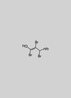 CCCC(Br)/C(Br)=C(/O)Br